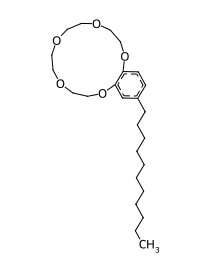 CCCCCCCCCCCc1ccc2c(c1)OCCOCCOCCOCCO2